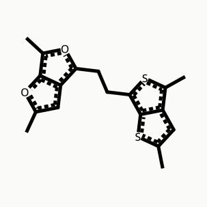 Cc1cc2c(CCc3sc(C)c4cc(C)sc34)oc(C)c2o1